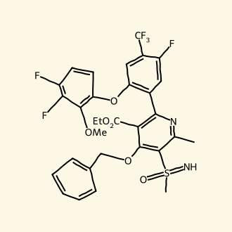 CCOC(=O)c1c(-c2cc(F)c(C(F)(F)F)cc2Oc2ccc(F)c(F)c2OC)nc(C)c(S(C)(=N)=O)c1OCc1ccccc1